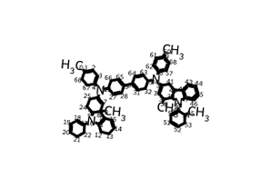 CC1=CC=C(N(C2=CC3(C)C4=C(CCC=C4)N(C4=CC=CCC4)C3CC2)C2C=CC(C3=CCC(N(C4=CC(C)C5C(C4)c4ccc#cc4N5C4=CC=CCC4C)c4ccc(C)cc4)C=C3)=CC2)CC1